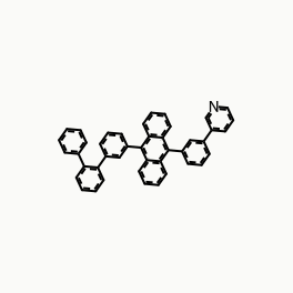 c1ccc(-c2ccccc2-c2cccc(-c3c4ccccc4c(-c4cccc(-c5cccnc5)c4)c4ccccc34)c2)cc1